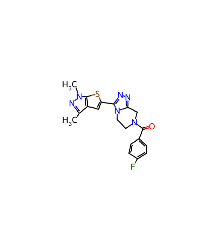 Cc1nn(C)c2sc(-c3nnc4n3CCN(C(=O)c3ccc(F)cc3)C4)cc12